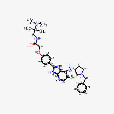 CN(C)C(C)(C)CNC(=O)COc1ccc(-c2nc3c(N[C@@H]4CCN(Cc5ccccc5)C4)c(Cl)cnc3[nH]2)cc1